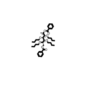 CCCCO[C@H]([C@@H](OCCCC)[C@@H](C)OC(=O)c1ccccc1)[C@H](OCCCC)[C@H](COC(=O)c1ccccc1)OCCCC